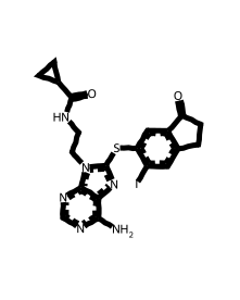 Nc1ncnc2c1nc(Sc1cc3c(cc1I)CCC3=O)n2CCNC(=O)C1CC1